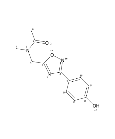 CC(=O)N(C)Cc1nc(-c2ccc(O)cc2)no1